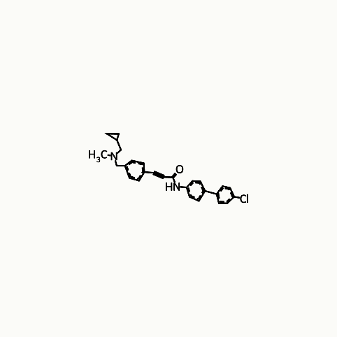 CN(Cc1ccc(C#CC(=O)Nc2ccc(-c3ccc(Cl)cc3)cc2)cc1)CC1CC1